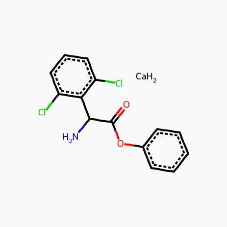 NC(C(=O)Oc1ccccc1)c1c(Cl)cccc1Cl.[CaH2]